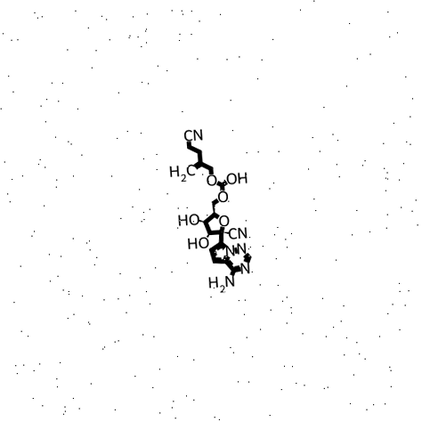 C=C(CCC#N)COC(O)OC[C@H]1O[C@@](C#N)(c2ccc3c(N)ncnn23)[C@H](O)[C@@H]1O